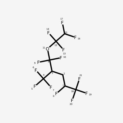 FC(CC(C(F)(F)F)C(F)(F)OC(F)(F)C(F)F)C(F)(F)F